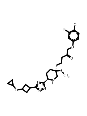 CS[C@]1(CCCC(=O)COc2ccc(Cl)c(F)c2)CC[C@H](c2nnc(C3CC(OC4CC4)C3)o2)NC1